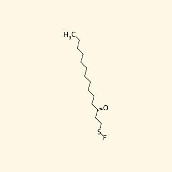 CCCCCCCCCCCC(=O)CCSF